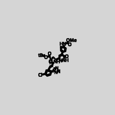 COC(=O)Nc1ccc(-c2cc([C@H](CNC(=O)OC(C)(C)C)NC(=O)C=Cc3cc(Cl)ccc3-n3cnnn3)n[nH]c2=O)cc1